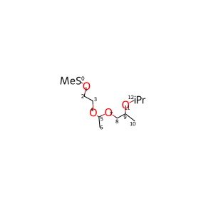 CSOCCOC(C)OCC(C)OC(C)C